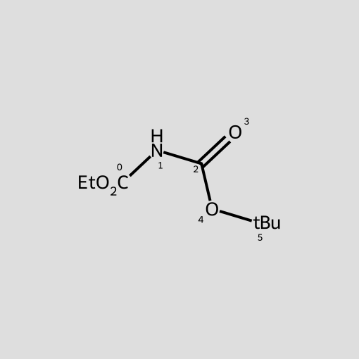 CCOC(=O)NC(=O)OC(C)(C)C